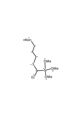 CCCCCCCCCCCCSC(CC)[Si](OC)(OC)OC